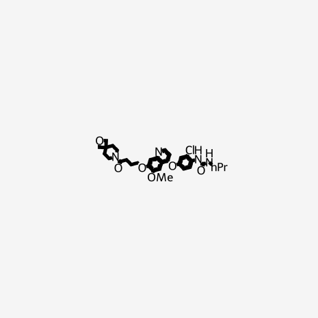 CCCNC(=O)Nc1ccc(Oc2ccnc3cc(OCCCC(=O)N4CCC5(CC4)COC5)c(OC)cc23)cc1Cl